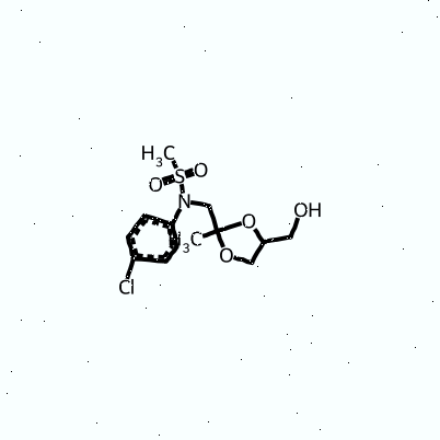 CC1(CN(c2ccc(Cl)cc2)S(C)(=O)=O)OCC(CO)O1